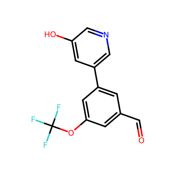 O=Cc1cc(OC(F)(F)F)cc(-c2cncc(O)c2)c1